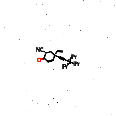 C=CC1(C#C[Si](C(C)C)(C(C)C)C(C)C)C=CC(=O)C(C#N)C1